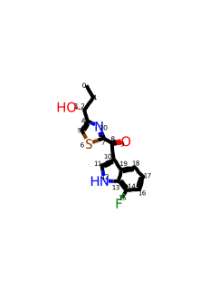 CC[C@@H](O)c1csc(C(=O)c2c[nH]c3c(F)cccc23)n1